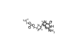 CC(C)COC(=O)OC[C@@H]1C=C[C@H](n2cnc3c(=O)[nH]c(N)nc32)C1